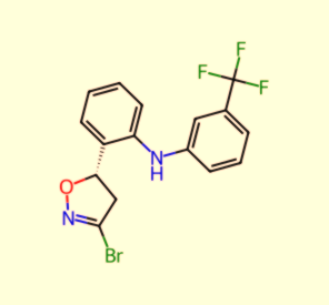 FC(F)(F)c1cccc(Nc2ccccc2[C@@H]2CC(Br)=NO2)c1